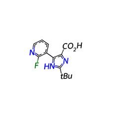 CC(C)(C)c1nc(C(=O)O)c(-c2cccnc2F)[nH]1